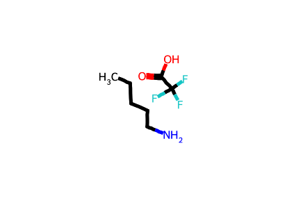 CCCCCN.O=C(O)C(F)(F)F